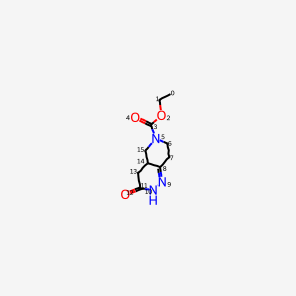 CCOC(=O)N1CCC2=NNC(=O)CC2C1